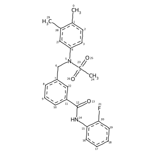 Cc1ccc(N(Cc2cccc(C(=O)Nc3ccccc3F)c2)S(C)(=O)=O)cc1C